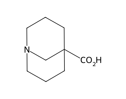 O=C(O)C12CCCN(CCC1)C2